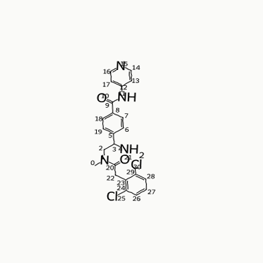 CN(CC(N)c1ccc(C(=O)Nc2ccncc2)cc1)C(=O)Cc1c(Cl)cccc1Cl